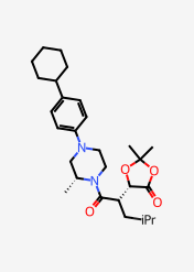 CC(C)CC(C(=O)N1CCN(c2ccc(C3CCCCC3)cc2)C[C@H]1C)[C@@H]1OC(C)(C)OC1=O